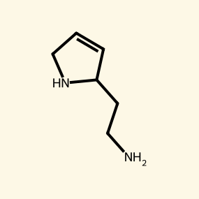 NCCC1C=CCN1